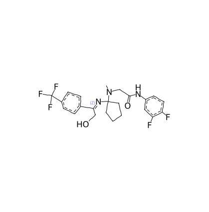 CN(CC(=O)Nc1ccc(F)c(F)c1)C1(/N=C(\CO)c2ccc(C(F)(F)F)cc2)CCCC1